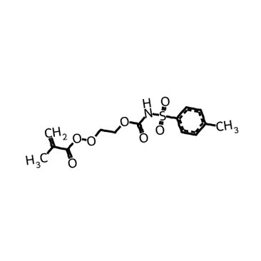 C=C(C)C(=O)OOCCOC(=O)NS(=O)(=O)c1ccc(C)cc1